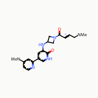 CNC/C=C/C(=O)N1CC(Nc2cc(-c3cc(NC)ccn3)c[nH]c2=O)C1